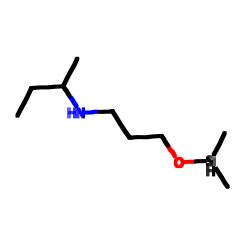 CCC(C)NCCCO[SiH](C)C